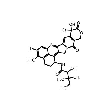 CCC1(O)C(=O)OCc2c1cc1n(c2=O)Cc2c-1nc1cc(F)c(C)c3c1c2C(NC(=O)C(O)C(C)(C)CO)CC3